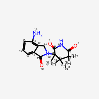 [2H]C1([2H])C(=O)NC(=O)C([2H])(N2Cc3c(N)cccc3C2=O)C1([2H])[2H]